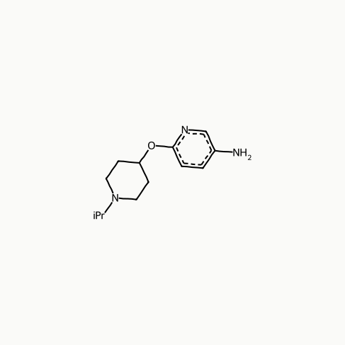 CC(C)N1CCC(Oc2ccc(N)cn2)CC1